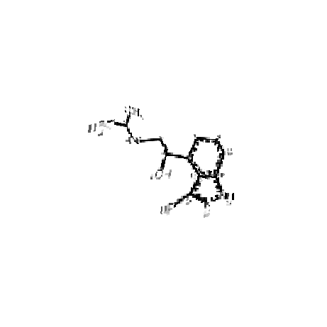 CC(C)NC[C@H](O)c1cccc2[nH]nc(F)c12